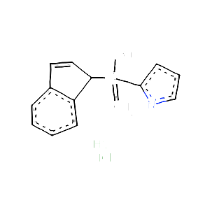 Cl.Cl.[CH2]=[Ti]([c]1ccc[nH]1)([CH]1C=Cc2ccccc21)[C](C)(C)C